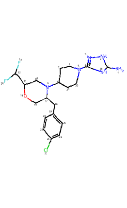 NC1NN=C(N2CCC(N3CC(C(F)F)OCC3Cc3ccc(Cl)cc3)CC2)N1